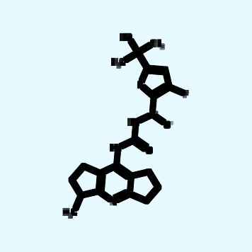 CC1CCc2c1nc1c(c2NC(=O)N[S+]([O-])c2sc(C(C)(C)O)cc2F)CCC1